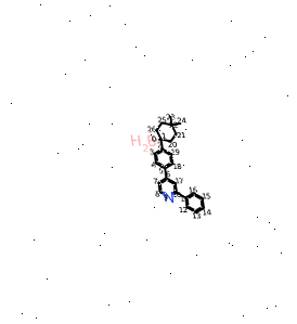 BC1(c2ccc(-c3ccnc(-c4ccccc4)c3)cc2)CCC(C)(C)CC1